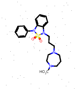 O=C(O)N1CCCN(CCCN2c3ccccc3N(c3ccccc3)S2(=O)=O)CC1